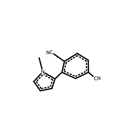 Cn1[c]ccc1-c1cc(C#N)ccc1C#N